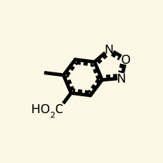 Cc1cc2nonc2cc1C(=O)O